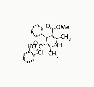 COC(=O)C1=C(C)NC(C)=C(C(=O)O)C1c1ccccc1OCc1ccccc1Cl